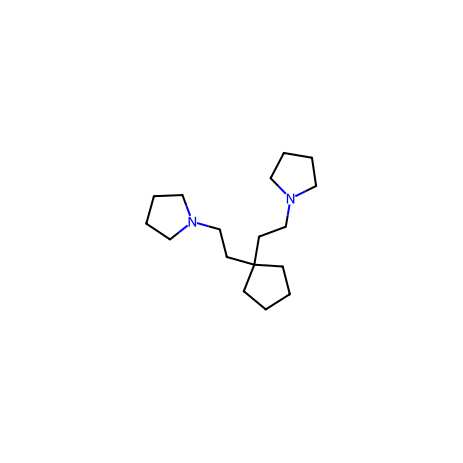 C1CCN(CCC2(CCN3CCCC3)CCCC2)C1